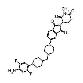 CN1C(=O)CCC(N2C(=O)c3ccc(N4CCN(CC5CCN(c6cc(F)c(N)cc6F)CC5)CC4)cc3C2=O)C1=O